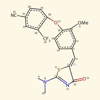 COc1cc(/C=C2\SC(N(C)C)=NC2=O)ccc1Oc1ccc(C#N)cc1C(F)(F)F